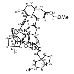 COCOc1cc(-c2cnc3c(N4C[C@H]5CC[C@@H](C4)N5C(=O)OC(C)(C)C)nc(OC[C@@]45CCCN4C[C@H](F)C5)nc3c2)c2c(C#C[Si](C(C)C)(C(C)C)C(C)C)c(F)ccc2c1